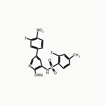 COc1ncc(-c2ccc([N+](=O)[O-])c(F)c2)cc1NS(=O)(=O)c1ccc(C)cc1F